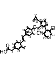 O=C(O)Cc1ccc(C=CC23CCC(OCc4c(-c5c(Cl)cncc5Cl)noc4C4CC4)(CC2)CC3)c(F)c1